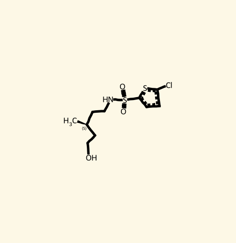 C[C@H](CCO)CCNS(=O)(=O)c1ccc(Cl)s1